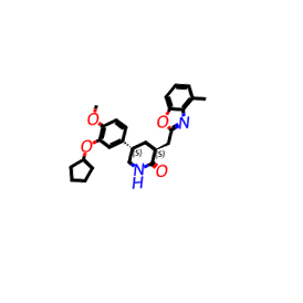 COc1ccc([C@H]2CNC(=O)[C@H](Cc3nc4c(C)cccc4o3)C2)cc1OC1CCCC1